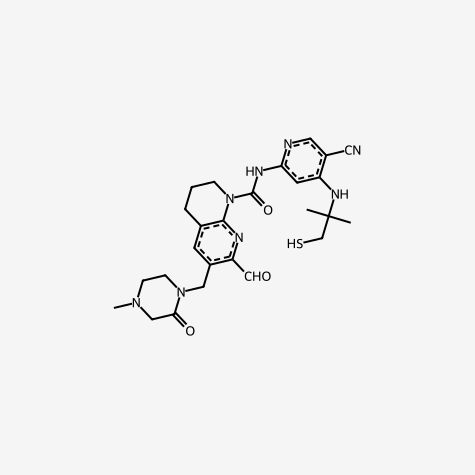 CN1CCN(Cc2cc3c(nc2C=O)N(C(=O)Nc2cc(NC(C)(C)CS)c(C#N)cn2)CCC3)C(=O)C1